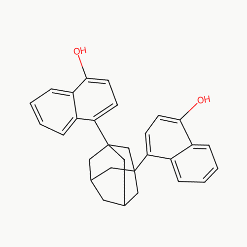 Oc1ccc(C23CC4CC(C2)CC(c2ccc(O)c5ccccc25)(C4)C3)c2ccccc12